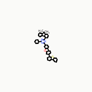 CC1(C)c2ccccc2-c2c(-c3nc(-c4ccccc4)nc(-c4ccc5c(c4)oc4cc(-c6cccc7c6sc6ccccc67)ccc45)n3)cccc21